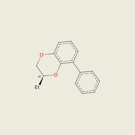 CC[C@H]1COc2cccc(-c3ccccc3)c2O1